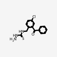 NNC(=S)NCc1ccc(Cl)cc1C(=O)c1ccccc1